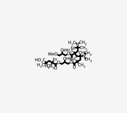 CCC(C)(CC(C)(C)C(=O)O)C(=O)OCC(O)COC(=O)C(C)(C)CC(C)(CC(C)(CC(C)(CC)N(C)C)C(=O)OCC(O)COC)N(C)C